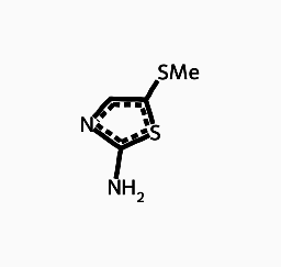 [CH2]Sc1cnc(N)s1